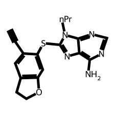 C#Cc1cc2c(cc1Sc1nc3c(N)ncnc3n1CC[CH2])OCC2